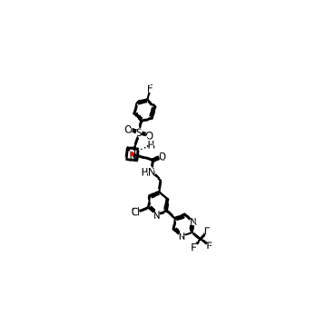 O=C(NCc1cc(Cl)nc(-c2cnc(C(F)(F)F)nc2)c1)[C@@H]1C2CC(C2)N1S(=O)(=O)c1ccc(F)cc1